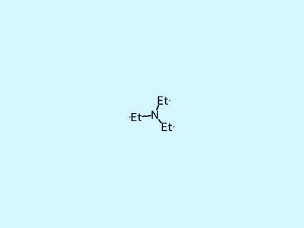 C[CH]N([CH]C)[CH]C